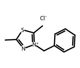 Cc1n[n+](Cc2ccccc2)c(C)s1.[Cl-]